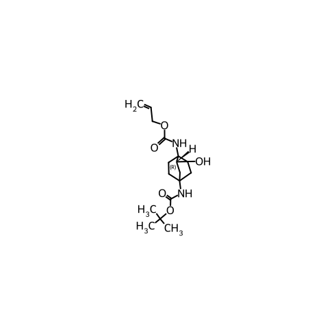 C=CCOC(=O)NC12CCC(NC(=O)OC(C)(C)C)(CC1)C[C@H]2O